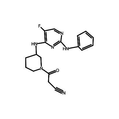 N#CCC(=O)N1CCCC(Nc2nc(Nc3ccccc3)ncc2F)C1